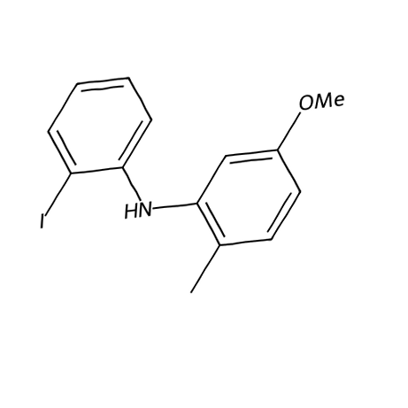 COc1ccc(C)c(Nc2ccccc2I)c1